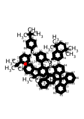 CC(C)(C)c1ccc(N(c2ccc(C(C)(C)C)cc2)c2ccc3c(c2)-c2c4c(cc5c2-c2ccccc2C5(C)C)Nc2c(cccc2C2(c5ccc6ccccc6c5)c5ccccc5-c5ccccc52)B4N3c2ccc3c(c2)C(C)(C)CCC3(C)C)cc1